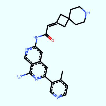 Cc1ccncc1-c1cc2cc(NC(=O)C=C3CC4(CCNCC4)C3)ncc2c(N)n1